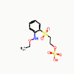 CCONc1ccccc1S(=O)(=O)CCOS(=O)(=O)O